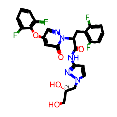 O=C(Nc1ccn(C[C@@H](O)CO)n1)C(Cc1c(F)cccc1F)n1ncc(Oc2c(F)cccc2F)cc1=O